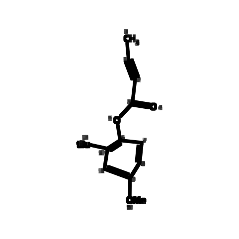 CC#CC(=O)Oc1ccc(OC)cc1C(C)(C)C